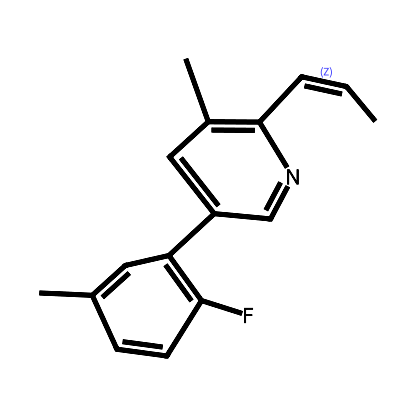 C/C=C\c1ncc(-c2cc(C)ccc2F)cc1C